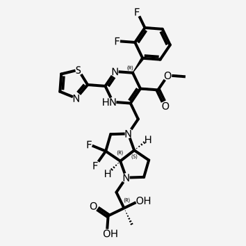 COC(=O)C1=C(CN2CC(F)(F)[C@H]3[C@@H]2CCN3C[C@@](C)(O)C(=O)O)NC(c2nccs2)=N[C@H]1c1cccc(F)c1F